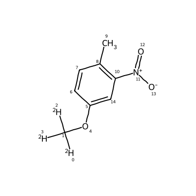 [2H]C([2H])([2H])Oc1ccc(C)c([N+](=O)[O-])c1